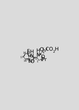 CC(C)CC(NC(=O)[C@H]1O[C@@H]1C(=O)O)C(=O)Nc1c(F)cccc1F